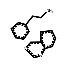 NCCc1ccccc1.c1ccc2ncncc2c1